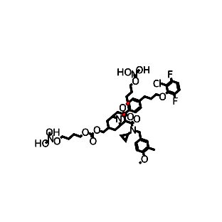 COc1ccc(CN(C(=O)C2C(c3ccc(CCCOc4c(F)ccc(F)c4Cl)cc3)CC3CC(COC(=O)OCCCCON(O)O)CC2N3C(=O)OCCCCON(O)O)C2CC2)cc1C